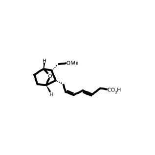 COC[C@@H]1[C@H](C/C=C\C=CCC(=O)O)[C@@H]2CC[C@H]1O2